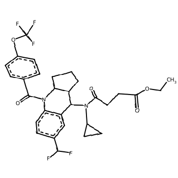 CCOC(=O)CCC(=O)N(C1CC1)C1c2cc(C(F)F)ccc2N(C(=O)c2ccc(OC(F)(F)F)cc2)C2CCCC21